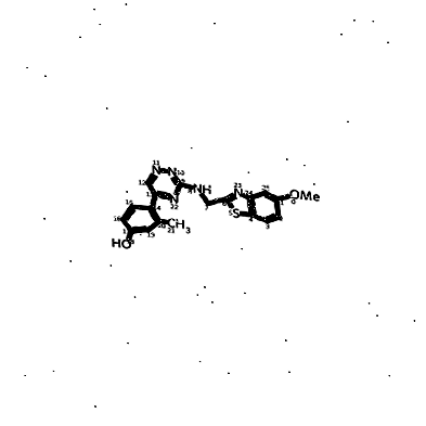 COc1ccc2sc(CNc3nncc(-c4ccc(O)cc4C)n3)nc2c1